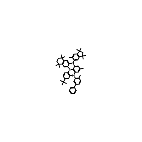 Cc1cc2c3c(c1)N(c1cc4c(cc1C)C(C)(C)CC4(C)C)c1cc4c(cc1B3c1ccc(C(C)(C)C)cc1N2c1cc(-c2ccccc2)ccc1C)C(C)(C)CCC4(C)C